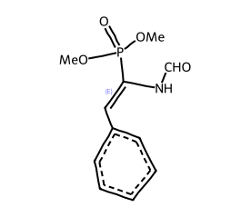 COP(=O)(OC)/C(=C/c1ccccc1)NC=O